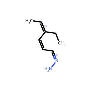 C\C=C(/C=C\C=N/N)CC